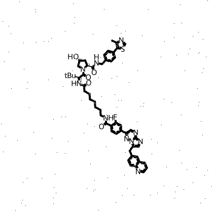 Cc1ncsc1-c1ccc(CNC(=O)[C@@H]2C[C@@H](O)CN2C(=O)[C@@H](NC(=O)CCCCCCCNC(=O)c2ccc(-c3cnc4ncc(Cc5ccc6ncccc6c5)n4n3)cc2F)C(C)(C)C)cc1